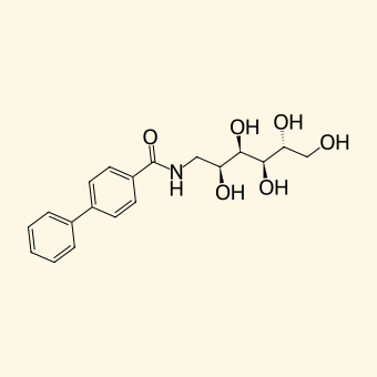 O=C(NC[C@H](O)[C@@H](O)[C@H](O)[C@H](O)CO)c1ccc(-c2ccccc2)cc1